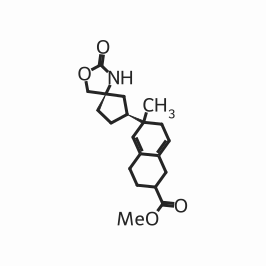 COC(=O)C1CCC2=CC(C)([C@H]3CC[C@]4(COC(=O)N4)C3)CC=C2C1